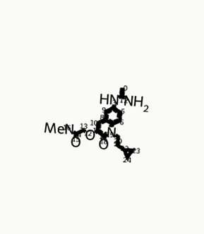 C=C(N)Nc1ccc2c(c1)cc(OCC(=O)NC)c(=O)n2CCC1CC1